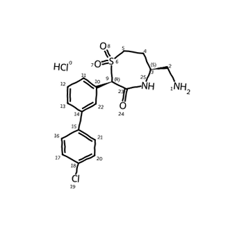 Cl.NC[C@@H]1CCS(=O)(=O)[C@H](c2cccc(-c3ccc(Cl)cc3)c2)C(=O)N1